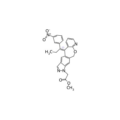 CC/C(=C1\c2cc3cnn(CC(=O)OC)c3cc2COc2ncccc21)c1cccc([N+](=O)[O-])c1